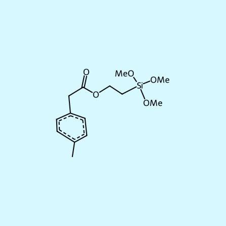 CO[Si](CCOC(=O)Cc1ccc(C)cc1)(OC)OC